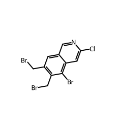 Clc1cc2c(Br)c(CBr)c(CBr)cc2cn1